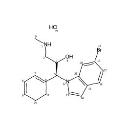 CNCC(O)[C@H](C1=CC=CCC1)n1ccc2ccc(Br)cc21.Cl